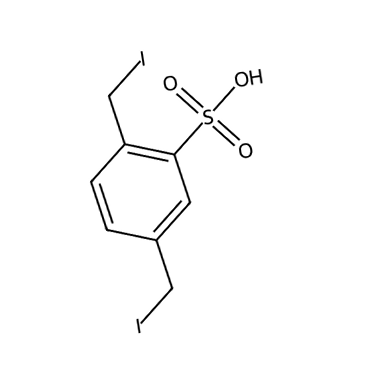 O=S(=O)(O)c1cc(CI)ccc1CI